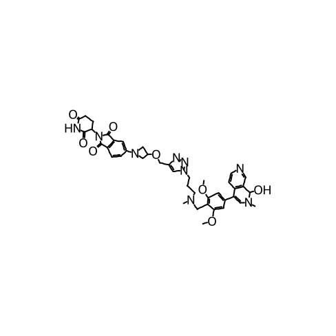 COc1cc(C2=CN(C)C(O)c3cnccc32)cc(OC)c1CN(C)CCCn1cc(COC2CN(c3ccc4c(c3)C(=O)N(C3CCC(=O)NC3=O)C4=O)C2)nn1